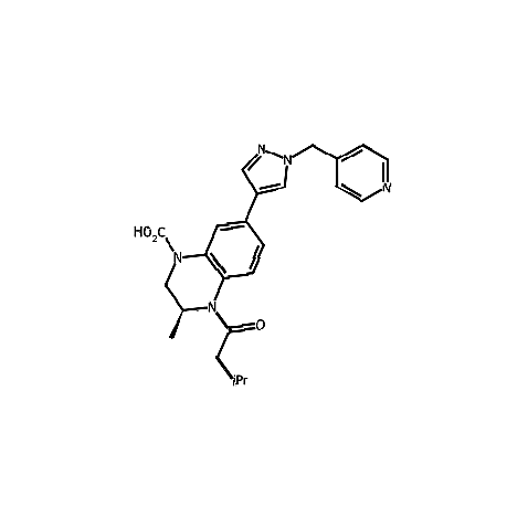 CC(C)CC(=O)N1c2ccc(-c3cnn(Cc4ccncc4)c3)cc2N(C(=O)O)C[C@@H]1C